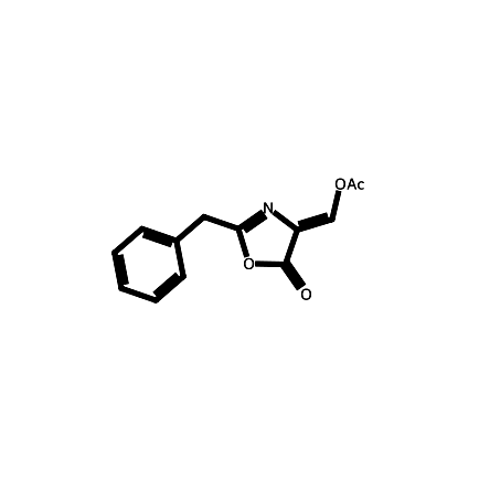 CC(=O)O/C=C1\N=C(Cc2ccccc2)OC1=O